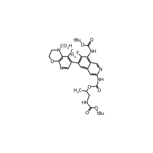 Cc1c(-c2cc3cc(NC(=O)OC(C)CNC(=O)OC(C)(C)C)ncc3c(NC(=O)OC(C)(C)C)c2F)cnc2c1N(C(=O)O)CCO2